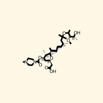 CO[C@H](C(C)OC(C)(C)C[C@H](C)/C=C/C=C(\C)[C@H]1O[C@@H](CC(=O)O)C[C@@H](OC(=O)N2CCN(C)CC2)[C@@H]1C)[C@@H](C)O